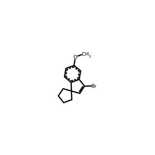 COc1ccc2c(c1)C(Br)=CC21CCCC1